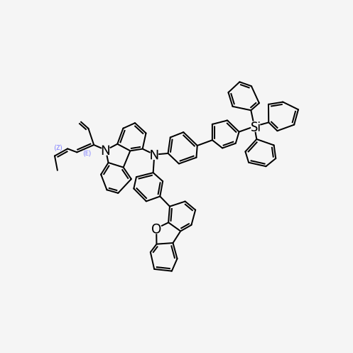 C=C/C(=C\C=C/C)n1c2ccccc2c2c(N(c3ccc(-c4ccc([Si](c5ccccc5)(c5ccccc5)c5ccccc5)cc4)cc3)c3cccc(-c4cccc5c4oc4ccccc45)c3)cccc21